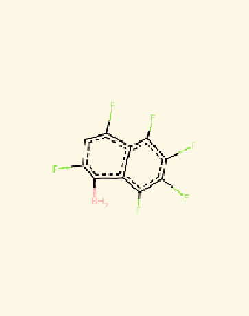 Bc1c(F)cc(F)c2c(F)c(F)c(F)c(F)c12